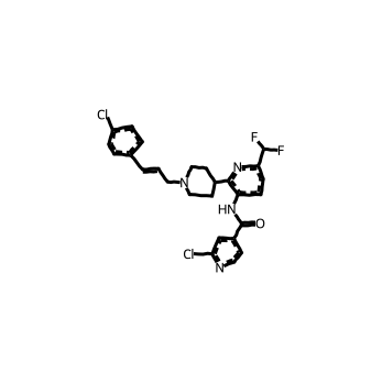 O=C(Nc1ccc(C(F)F)nc1C1CCN(CC=Cc2ccc(Cl)cc2)CC1)c1ccnc(Cl)c1